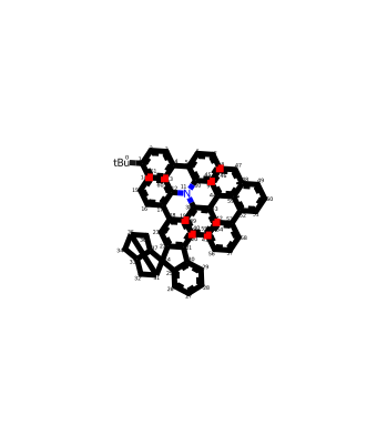 CC(C)(C)c1ccc(-c2ccccc2N(c2ccccc2-c2ccc3c(c2)C2(c4ccccc4-3)C3CC4CC3CC42)c2ccccc2-c2cccc3cccc(-c4ccccc4)c23)cc1